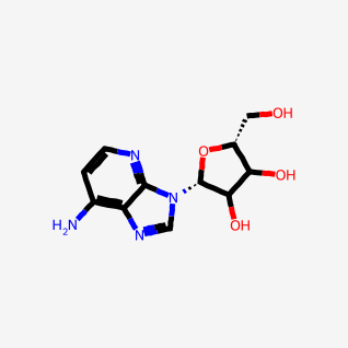 Nc1ccnc2c1ncn2[C@@H]1O[C@H](CO)C(O)C1O